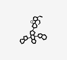 C=Cc1ccc2oc3cc(-c4ccc5c(-c6ccc7ccccc7c6)c6ccccc6c(-c6ccc7ccccc7c6)c5c4)ccc3c2c1/C=C\C